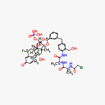 C[C@H](NC(=O)CBr)C(=O)N[C@@H](C)C(=O)Nc1ccc(Cc2cccc([C@@H]3O[C@@H]4C[C@H]5[C@@H]6C[C@H](F)C7=CC(=O)C=C[C@]7(C)[C@@]6(F)[C@@H](O)C[C@]5(C)[C@]4(C(=O)COP(=O)(O)O)O3)c2)cc1CO